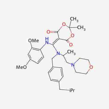 COc1ccc(NC(=C2C(=O)OC(C)(C)OC2=O)N(Cc2ccc(CC(C)C)cc2)C(C)CN2CCOCC2)c(OC)c1